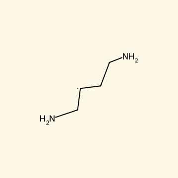 NC[CH]CCN